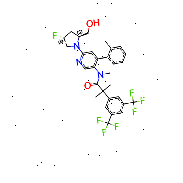 Cc1ccccc1-c1cc(N2C[C@H](F)C[C@H]2CO)ncc1N(C)C(=O)C(C)(C)c1cc(C(F)(F)F)cc(C(F)(F)F)c1